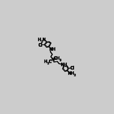 C[N+](C)(CCCNc1ccc(N)c(Cl)c1)CCCNc1ccc(N)c(Cl)c1